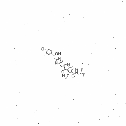 Cc1c(C(=O)NCC(F)F)sc2ncn(Cc3nc(C[C@H](O)c4ccc(Cl)cc4)no3)c(=O)c12